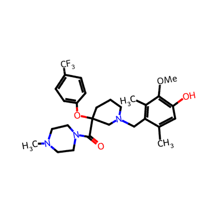 COc1c(O)cc(C)c(CN2CCCC(Oc3ccc(C(F)(F)F)cc3)(C(=O)N3CCN(C)CC3)C2)c1C